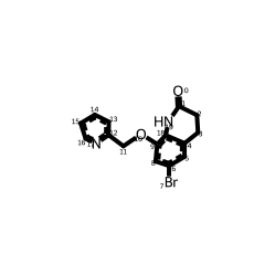 O=C1CCc2cc(Br)cc(OCc3ccccn3)c2N1